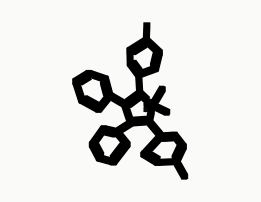 Cc1ccc(C2=C(c3ccccc3)C(c3ccccc3)=C(c3ccc(C)cc3)[Si]2(C)C)cc1